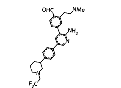 CNCCc1cc(-c2cc(-c3ccc(C4CCCN(CC(F)(F)F)C4)cc3)cnc2N)ccc1C=O